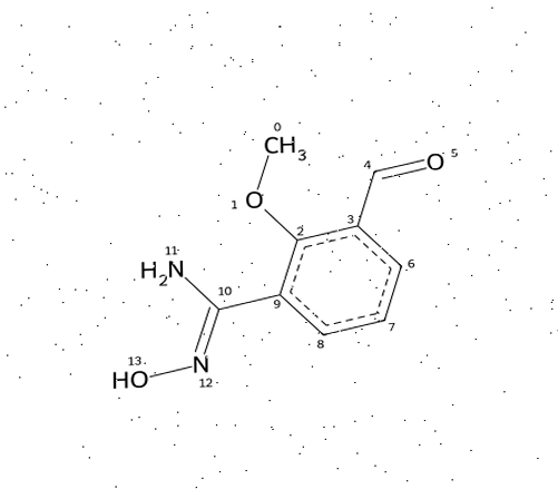 COc1c(C=O)cccc1/C(N)=N/O